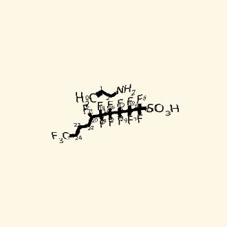 C=CCN.O=S(=O)(O)C(F)(F)C(F)(F)C(F)(F)C(F)(F)C(F)(F)C(F)CCCC(F)(F)F